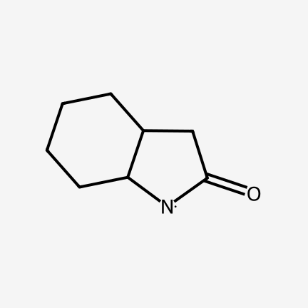 O=C1CC2CCCCC2[N]1